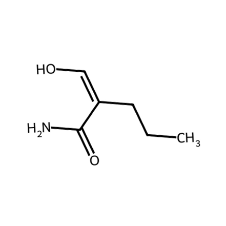 CCCC(=CO)C(N)=O